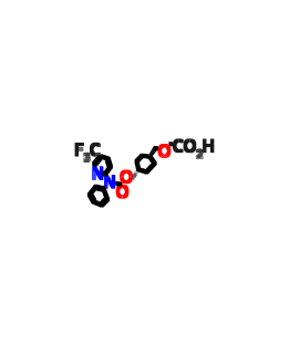 O=C(O)COC[C@H]1CC[C@H](COC(=O)N(c2ccccc2)c2ccc(C(F)(F)F)cn2)CC1